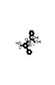 O=C(O)c1cc(C(=O)NC(Cc2ccccc2)C(O)C(=O)O)cc(-c2ccccc2)c1